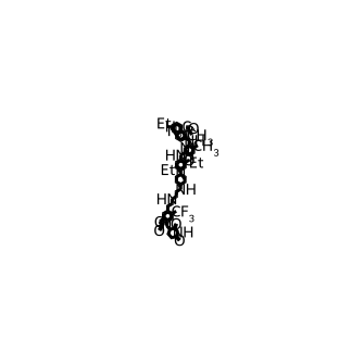 CCOc1cc(N2CCC(NCCNCCc3cc4oc(=O)n(C5CCC(=O)NC5=O)c4cc3C(F)(F)F)CC2)c(CC)cc1Nc1ncc(C)c(Nc2ccc3nc(CC)ccc3c2P(C)(C)=O)n1